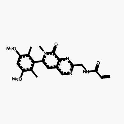 C=CC(=O)NCc1ncc2cc(-c3c(C)c(OC)cc(OC)c3C)n(C)c(=O)c2n1